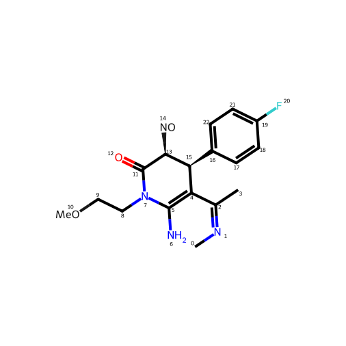 C/N=C(/C)C1=C(N)N(CCOC)C(=O)[C@@H](N=O)[C@H]1c1ccc(F)cc1